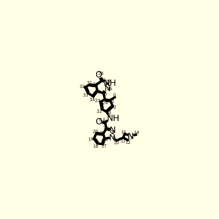 Cc1cc(NC(=O)c2nn(CC3CN(C)C3)c3ccccc23)ccc1-c1n[nH]c(=O)c2ccccc12